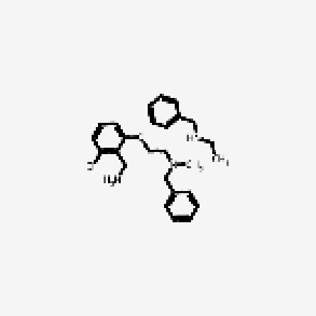 CCNCc1ccccc1.CN(CCOc1cccc(Cl)c1CN)Cc1ccccc1